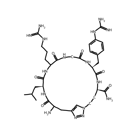 CC(C)C[C@@H]1NC(=O)C(N)Cc2cn(nn2)CC[C@H](C(N)=O)NC(=O)[C@H](Cc2ccc(NC(=N)N)cc2)NC(=O)CNC(=O)C(CCCNC(=N)N)NC1=O